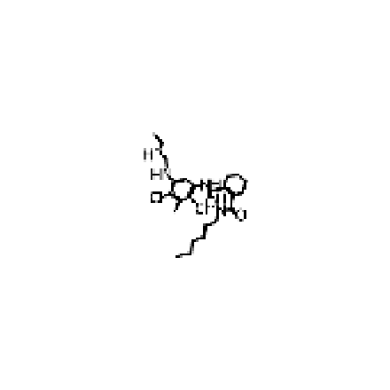 CCCCCCNC(=O)C1=C(C(=O)Nc2cc(NCPCC)c(Cl)c(C)c2Cl)CCCC1